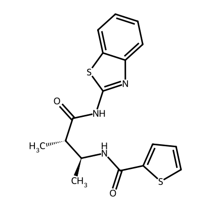 C[C@H](NC(=O)c1cccs1)[C@H](C)C(=O)Nc1nc2ccccc2s1